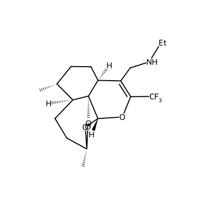 CCNCC1=C(C(F)(F)F)O[C@@H]2O[C@]3(C)CC[C@H]4[C@H](C)CC[C@@H]1[C@@]24OO3